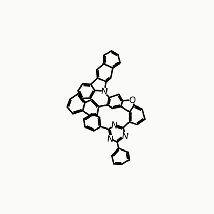 c1ccc(-c2nc(-c3ccccc3)nc(-c3cccc4oc5cc(-n6c7ccccc7c7cc8ccccc8cc76)c(-c6ccc7ccccc7c6)cc5c34)n2)cc1